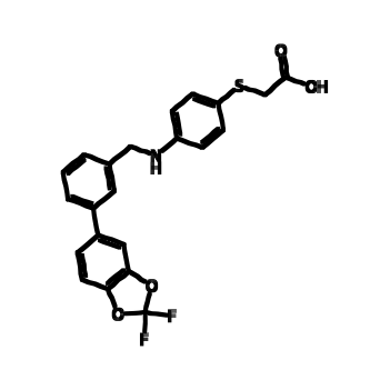 O=C(O)CSc1ccc(NCc2cccc(-c3ccc4c(c3)OC(F)(F)O4)c2)cc1